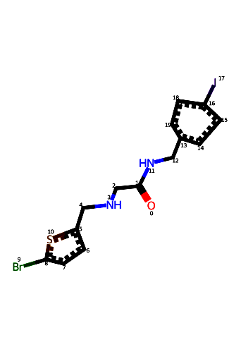 O=C(CNCc1ccc(Br)s1)NCc1ccc(I)cc1